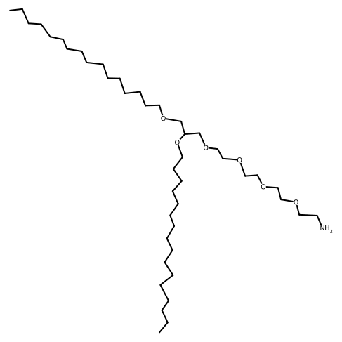 CCCCCCCCCCCCCCCCOCC(COCCOCCOCCOCCN)OCCCCCCCCCCCCCCCC